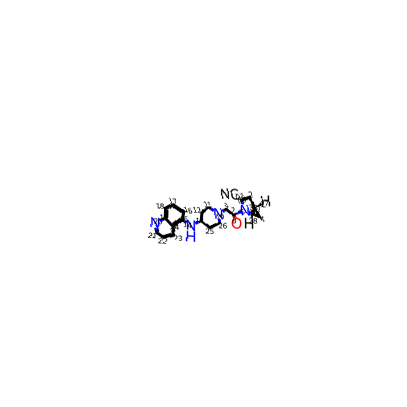 N#C[C@@H]1C[C@@H]2C[C@@H]2N1C(=O)CN1CCC(Nc2cccc3ncccc23)CC1